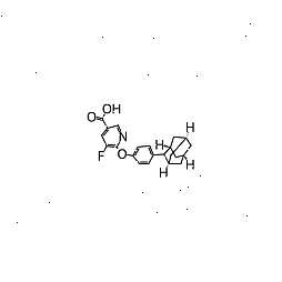 O=C(O)c1cnc(Oc2ccc(C3[C@H]4C[C@@H]5C[C@@H](C[C@H]3C5)C4)cc2)c(F)c1